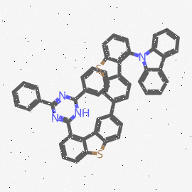 c1ccc(C2=NC(c3ccccc3)NC(c3cccc4sc5ccc(-c6ccc7c(c6)sc6cccc(-n8c9ccccc9c9ccccc98)c67)cc5c34)=N2)cc1